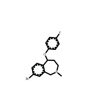 CN1CCC(Oc2ccc(F)cc2)c2ccc(Br)cc2C1